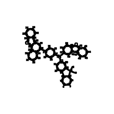 CC1(C)c2ccccc2-c2ccc(N(c3ccc(-c4cc5c6ccccc6oc5c5ccccc45)cc3)c3ccc4oc5ccccc5c4c3)cc21